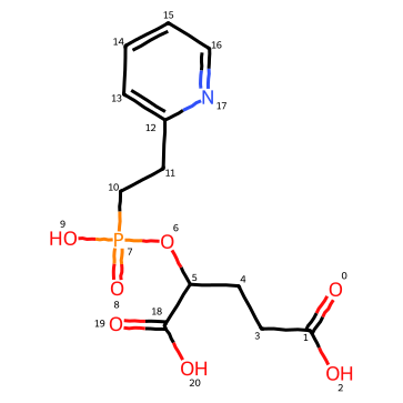 O=C(O)CCC(OP(=O)(O)CCc1ccccn1)C(=O)O